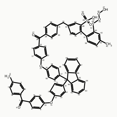 Cc1ccc(C(=O)c2ccc(Oc3ccc(C4(c5ccc(Oc6ccc(C(=O)c7ccc(Cc8ccc(-c9ccc(C)cc9SOOO)c(S(=O)(=O)O)c8)cc7)cc6)cc5)c5ccccc5-c5ccccc54)cc3)cc2)cc1